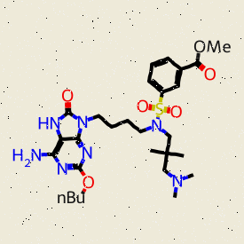 CCCCOc1nc(N)c2[nH]c(=O)n(CCCCN(CC(C)(C)CN(C)C)S(=O)(=O)c3cccc(C(=O)OC)c3)c2n1